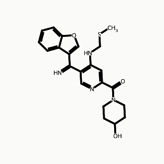 CSCNc1cc(C(=O)N2CCC(O)CC2)ncc1C(=N)c1coc2ccccc12